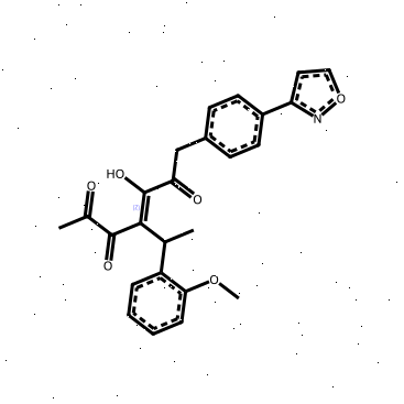 COc1ccccc1C(C)/C(C(=O)C(C)=O)=C(/O)C(=O)Cc1ccc(-c2ccon2)cc1